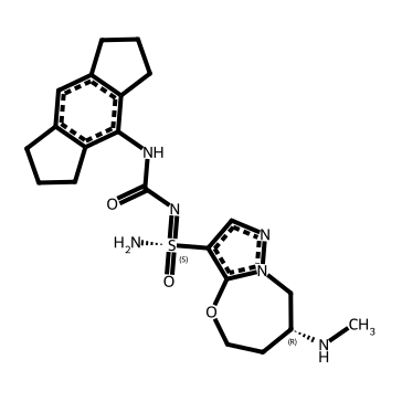 CN[C@@H]1CCOc2c([S@@](N)(=O)=NC(=O)Nc3c4c(cc5c3CCC5)CCC4)cnn2C1